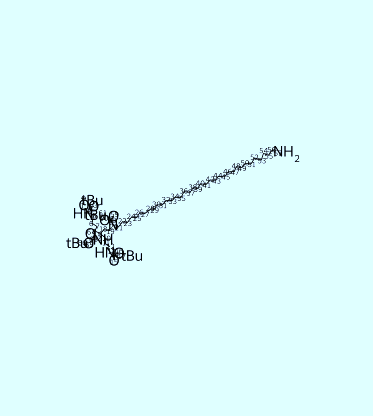 CC(C)(C)OC(=O)NCCCCC(CCCNC(=O)OC(C)(C)C)(CCN(CCCCCCCCCCCCCCCCCCCCCCCCCCCCCCCCCCCCN)C(=O)OC(C)(C)C)NC(=O)OC(C)(C)C